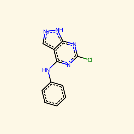 Clc1nc(Nc2ccccc2)c2cn[nH]c2n1